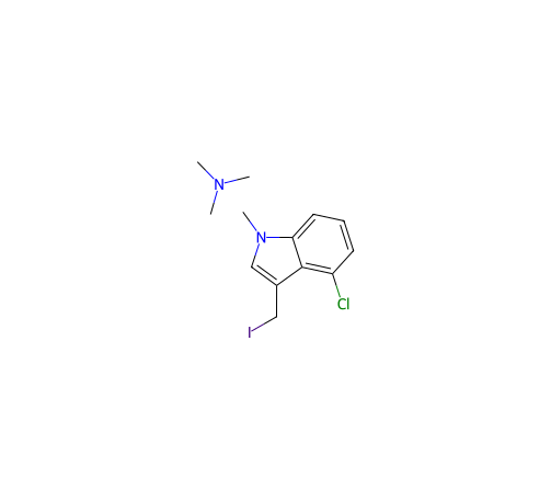 CN(C)C.Cn1cc(CI)c2c(Cl)cccc21